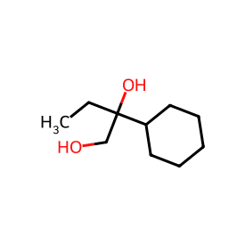 CCC(O)(CO)C1CCCCC1